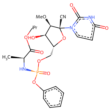 CO[C@@H]1[C@H](O)[C@@H](CO[P@@](=O)(N[C@@H](C)C(=O)OC(C)C)Oc2ccccc2)O[C@@]1(C#N)n1ccc(=O)[nH]c1=O